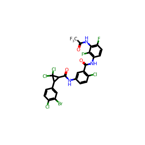 O=C(Nc1ccc(F)c(NC(=O)C(F)(F)F)c1F)c1cc(NC(=O)C2C(c3ccc(Cl)c(Br)c3)C2(Cl)Cl)ccc1Cl